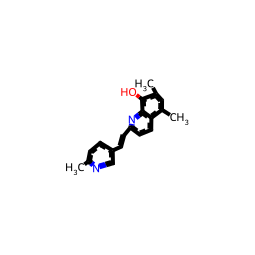 Cc1ccc(/C=C/c2ccc3c(C)cc(C)c(O)c3n2)cn1